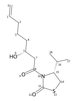 C=CCCC[C@@H](O)CC(=O)N1C(=O)SC[C@H]1C(C)C